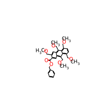 COCc1cc2c(COC)c3c(COC)ccc(COC)c3c(COC)c2cc1C(=O)OCc1ccccc1